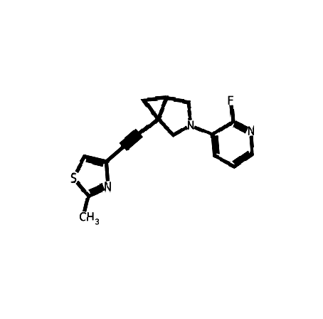 Cc1nc(C#CC23CC2CN(c2cccnc2F)C3)cs1